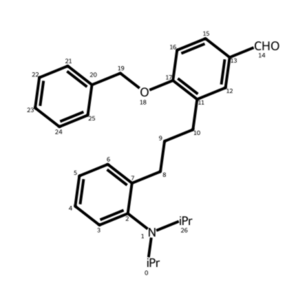 CC(C)N(c1ccccc1CCCc1cc(C=O)ccc1OCc1ccccc1)C(C)C